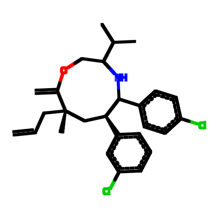 C=CC[C@@]1(C)C[C@H](c2cccc(Cl)c2)C(c2ccc(Cl)cc2)NC(C(C)C)COC1=C